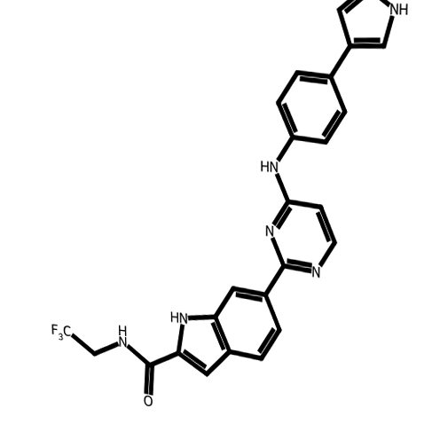 O=C(NCC(F)(F)F)c1cc2ccc(-c3nccc(Nc4ccc(-c5cn[nH]c5)cc4)n3)cc2[nH]1